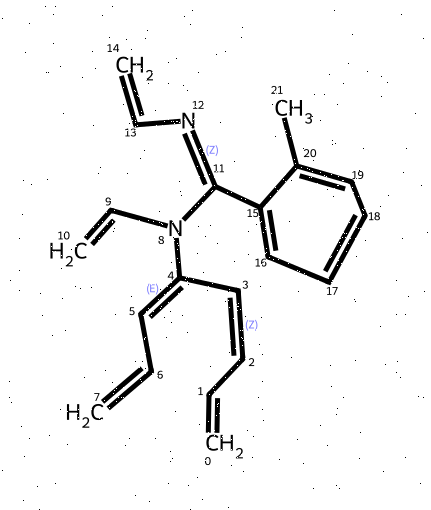 C=C/C=C\C(=C/C=C)N(C=C)/C(=N\C=C)c1ccccc1C